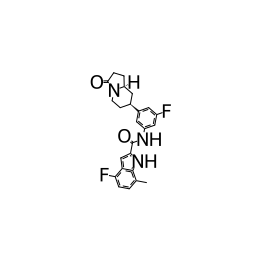 Cc1ccc(F)c2cc(C(=O)Nc3cc(F)cc([C@H]4CCN5C(=O)CC[C@H]5C4)c3)[nH]c12